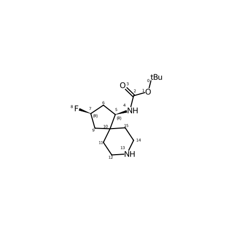 CC(C)(C)OC(=O)N[C@@H]1C[C@H](F)CC12CCNCC2